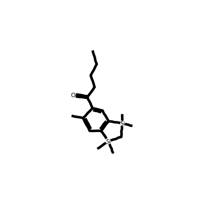 CCCCC(=O)c1cc2c(cc1C)[Si](C)(C)C[Si]2(C)C